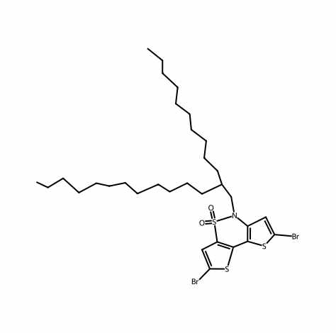 CCCCCCCCCCCCC(CCCCCCCCCC)CN1c2cc(Br)sc2-c2sc(Br)cc2S1(=O)=O